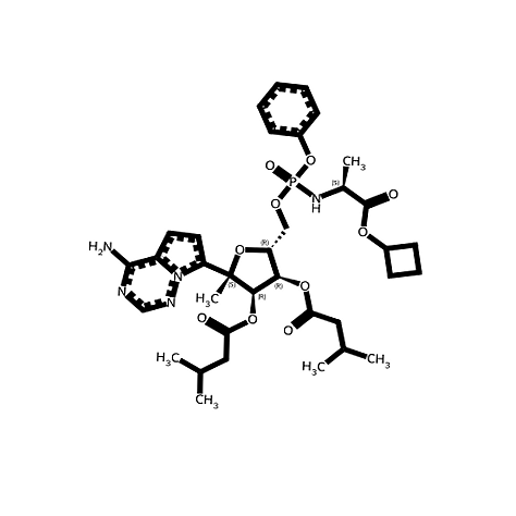 CC(C)CC(=O)O[C@H]1[C@@H](OC(=O)CC(C)C)[C@](C)(c2ccc3c(N)ncnn23)O[C@@H]1COP(=O)(N[C@@H](C)C(=O)OC1CCC1)Oc1ccccc1